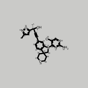 Cc1cc([C@@](C)(O)C#Cc2ccc3c(c2)N(c2nc(N)ncc2Cl)CC32CCOCC2)on1